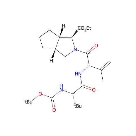 C=C(C)[C@H](NC(=O)[C@@H](NC(=O)OC(C)(C)C)C(C)(C)C)C(=O)N1C[C@@H]2CCC[C@@H]2[C@H]1C(=O)OCC